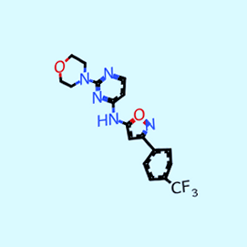 FC(F)(F)c1ccc(-c2cc(Nc3ccnc(N4CCOCC4)n3)on2)cc1